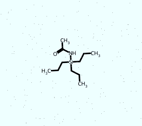 CCC[Si](CCC)(CCC)NC(C)=O